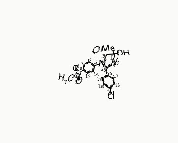 COC1(O)CN(c2ccc(S(C)(=O)=O)cc2)C(c2ccc(Cl)cc2)=N1